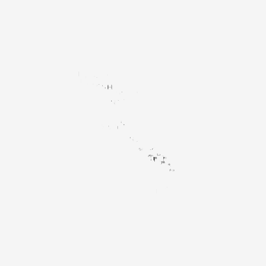 CC(C)CCC[C@@H](C)[C@H]1CC[C@@H]2[C@@H]1CC[C@H]1[C@H]2CC=C2C[C@@H](OC(=O)NCCCN(CCCCN(CCCNC(=O)OC(C)(C)C)C(=O)OC(C)(C)C)C(=O)OC(C)(C)C)CC[C@@]21C